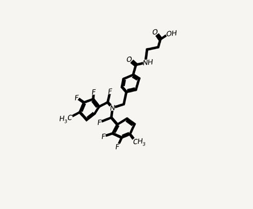 Cc1ccc(C(F)N(Cc2ccc(C(=O)NCCC(=O)O)cc2)C(F)c2ccc(C)c(F)c2F)c(F)c1F